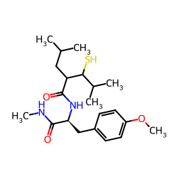 CNC(=O)[C@H](Cc1ccc(OC)cc1)NC(=O)C(CC(C)C)C(S)C(C)C